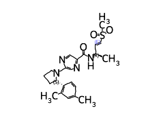 Cc1ccc([C@@H]2CCCN2c2cnc(C(=O)N[C@H](C)/C=C/S(C)(=O)=O)cn2)c(C)c1